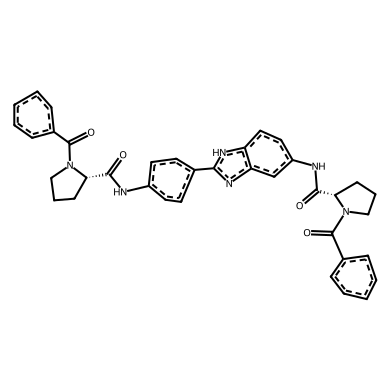 O=C(Nc1ccc(-c2nc3cc(NC(=O)[C@@H]4CCCN4C(=O)c4ccccc4)ccc3[nH]2)cc1)[C@@H]1CCCN1C(=O)c1ccccc1